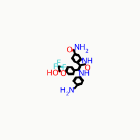 NCc1ccc(N/C(=C2\C(=O)Nc3cc(C(N)=O)ccc32)c2ccccc2)cc1.O=C(O)C(F)(F)F